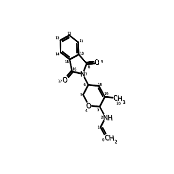 C=CNC1OCC(N2C(=O)c3ccccc3C2=O)C=C1C